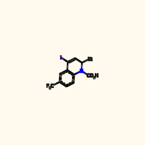 CCC1C=C(I)c2cc(C(F)(F)F)ccc2N1C(=O)O